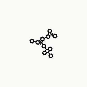 c1ccc(-c2ccc3c(c2)c2ccc(-c4ccc5c(c4)c4ccccc4n5-c4ccccc4)cc2n3-c2ccc(-c3c4ccccc4c(-c4ccccc4)c4ccccc34)cc2)cc1